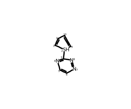 C1=C[SH](c2nccnn2)C=C1